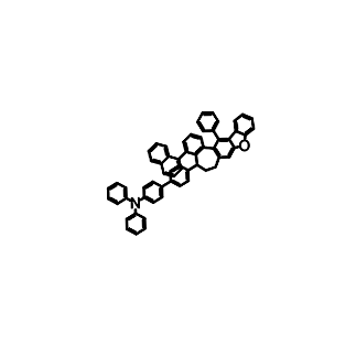 c1ccc(-c2c3c(cc4oc5ccccc5c24)CCC(c2ccc(-c4ccc(N(c5ccccc5)c5ccccc5)cc4)cc2)c2c-3cccc2-c2cccc3ccccc23)cc1